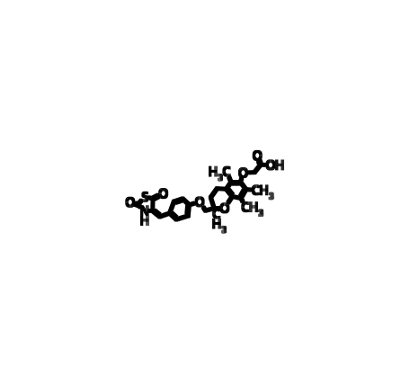 Cc1c(C)c2c(c(C)c1OCC(=O)O)CCC(C)(COc1ccc(C=C3NC(=O)SC3=O)cc1)O2